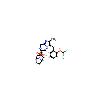 Cc1nc2cnc(C3=CC4CCC(C3)N4S(C)(=O)=O)cn2c1Cc1ccccc1OC(F)F